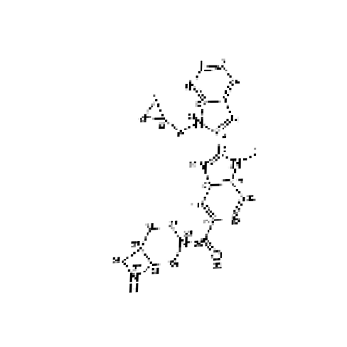 Cn1c(-c2cc3cccnc3n2CC2CC2)nc2cc(C(=O)N3CCC4CNC4C3)ccc21